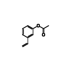 C=Cc1cccc(OC(C)=O)c1